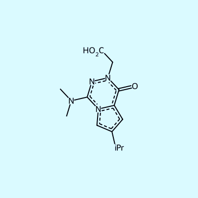 CC(C)c1cc2c(=O)n(CC(=O)O)nc(N(C)C)n2c1